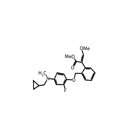 COC=C(C(=O)OC)c1ccccc1COc1ccc(N(C)CC2CC2)cc1F